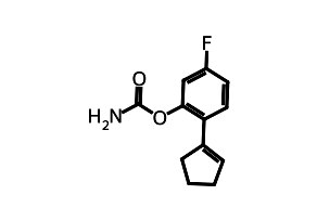 NC(=O)Oc1cc(F)ccc1C1=CCCC1